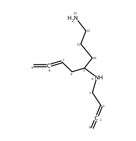 C=C=CCNC(CC=C=C)CCCN